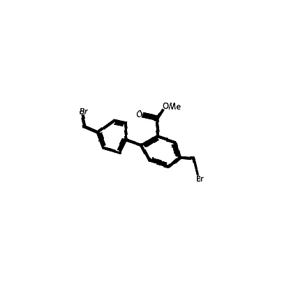 COC(=O)c1cc(CBr)ccc1-c1ccc(CBr)cc1